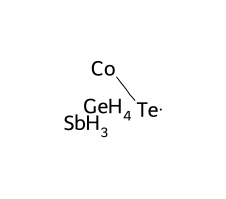 [Co][Te].[GeH4].[SbH3]